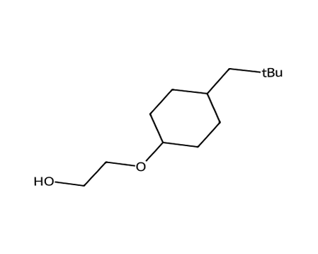 CC(C)(C)CC1CCC(OCCO)CC1